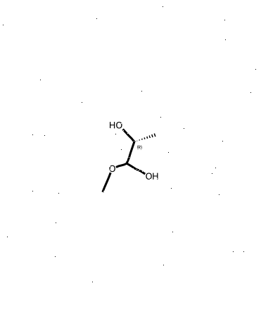 COC(O)[C@@H](C)O